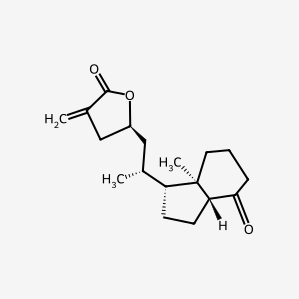 C=C1C[C@H](C[C@@H](C)[C@H]2CC[C@H]3C(=O)CCC[C@]23C)OC1=O